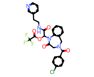 O=C(NCCc1cccnc1)C(OC(=O)C(F)(F)F)N1C(=O)CN(C(=O)c2ccc(Cl)cc2)Cc2ccccc21